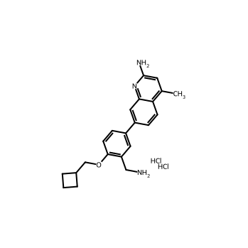 Cc1cc(N)nc2cc(-c3ccc(OCC4CCC4)c(CN)c3)ccc12.Cl.Cl